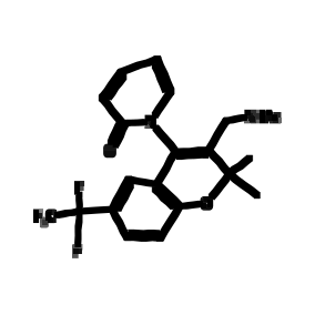 CC(=O)NCC1=C(n2ccccc2=O)c2cc(C(F)(F)C(F)(F)F)ccc2OC1(C)C